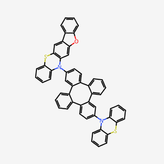 c1ccc2c(c1)Sc1ccccc1N2c1ccc2c(c1)-c1ccccc1-c1ccc(N3c4ccccc4Sc4cc5c(cc43)oc3ccccc35)cc1-c1ccccc1-2